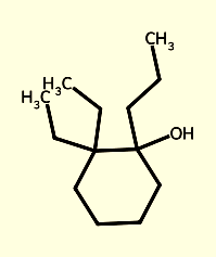 CCCC1(O)CCCCC1(CC)CC